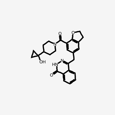 O=C(c1cc(Cc2n[nH]c(=O)c3ccccc23)cc2c1OCC2)N1CCC(C2(O)CC2)CC1